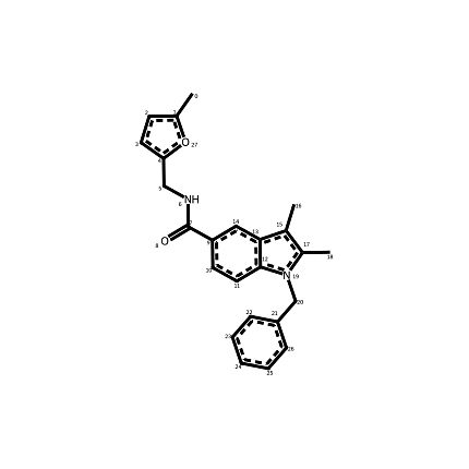 Cc1ccc(CNC(=O)c2ccc3c(c2)c(C)c(C)n3Cc2ccccc2)o1